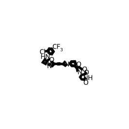 O=C1CCC(N2Cc3c(oc4ccc(N5CC(C#Cc6cnn(C7(C(=O)Nc8ccc(C(F)(F)F)cc8Cl)CCC7)c6)C5)cc34)C2=O)C(=O)N1